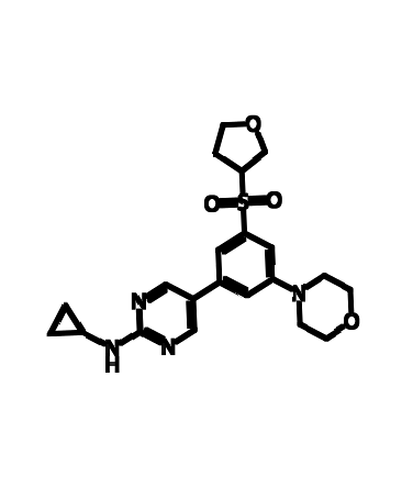 O=S(=O)(c1cc(-c2cnc(NC3CC3)nc2)cc(N2CCOCC2)c1)C1CCOC1